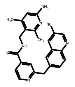 Cc1cc(N)nc(C)c1CNC(=O)c1ccnc(Cc2ccc3ncc(C#N)cc3c2)c1